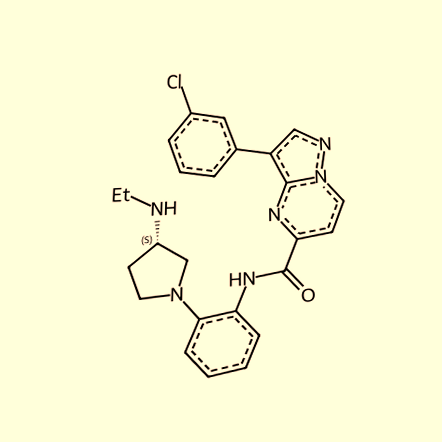 CCN[C@H]1CCN(c2ccccc2NC(=O)c2ccn3ncc(-c4cccc(Cl)c4)c3n2)C1